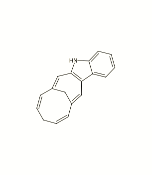 C1=C2/C=C\C/C=C\C(=Cc3c1[nH]c1ccccc31)C2